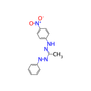 CC(N=Nc1ccccc1)=NNc1ccc([N+](=O)[O-])cc1